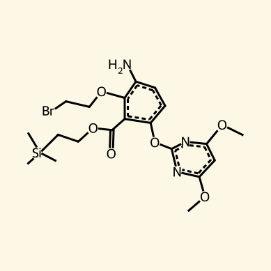 COc1cc(OC)nc(Oc2ccc(N)c(OCCBr)c2C(=O)OCC[Si](C)(C)C)n1